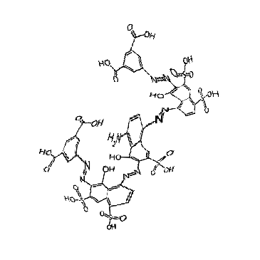 Nc1ccc(N=Nc2ccc(S(=O)(=O)O)c3cc(S(=O)(=O)O)c(N=Nc4cc(C(=O)O)cc(C(=O)O)c4)c(O)c23)c2cc(S(=O)(=O)O)c(N=Nc3ccc(S(=O)(=O)O)c4cc(S(=O)(=O)O)c(N=Nc5cc(C(=O)O)cc(C(=O)O)c5)c(O)c34)c(O)c12